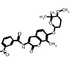 COC1CCC(Oc2ccc3cc(NC(=O)c4cccc([N+](=O)[O-])c4)c(=O)oc3c2C)OC1(C)C